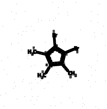 Cc1c(Br)c(Br)c(C)n1C